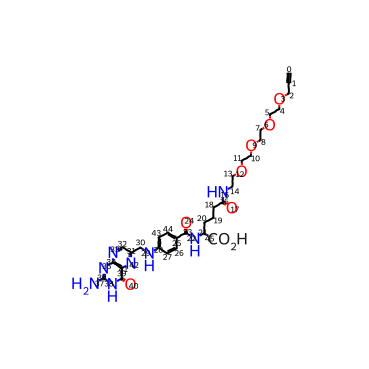 C#CCOCCOCCOCCOCCNC(=O)CCCC(NC(=O)c1ccc(NCc2cnc3nc(N)[nH]c(=O)c3n2)cc1)C(=O)O